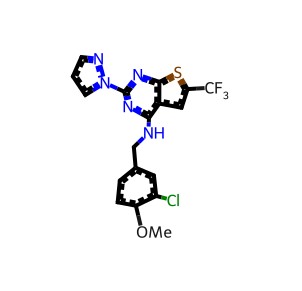 COc1ccc(CNc2nc(-n3cccn3)nc3sc(C(F)(F)F)cc23)cc1Cl